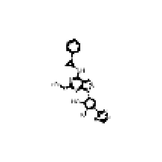 CCCSc1nc(N[C@@H]2C[C@H]2c2ccccc2)c2nnn([C@@H]3C[C@H](c4nnc[nH]4)[C@@H](O)[C@H]3O)c2n1